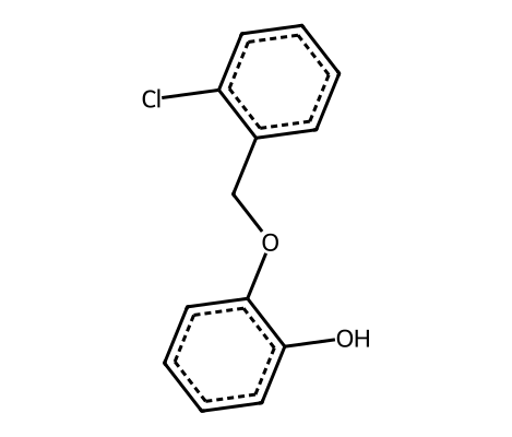 Oc1ccccc1OCc1ccccc1Cl